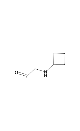 O=[C]CNC1CCC1